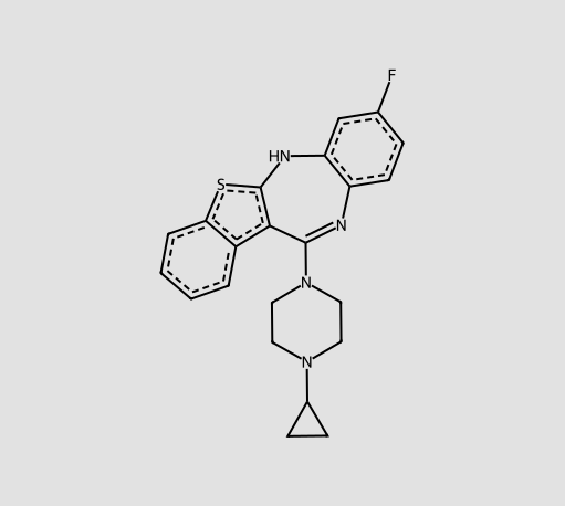 Fc1ccc2c(c1)Nc1sc3ccccc3c1C(N1CCN(C3CC3)CC1)=N2